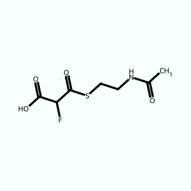 CC(=O)NCCSC(=O)C(F)C(=O)O